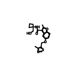 Cc1ncsc1COc1ccc2oc(C)c(C(=O)NC3(CO)CCC3)c2c1